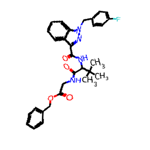 CC(C)(C)C(NC(=O)c1nn(Cc2ccc(F)cc2)c2ccccc12)C(=O)NCC(=O)OCc1ccccc1